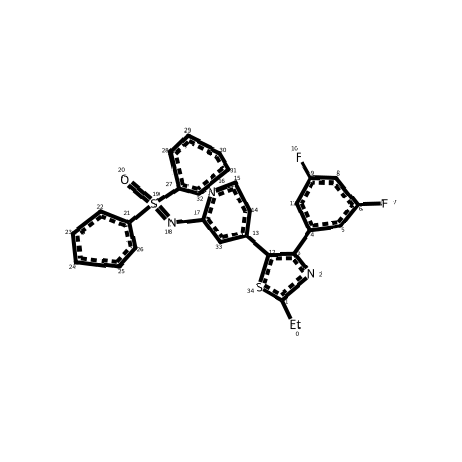 CCc1nc(-c2cc(F)cc(F)c2)c(-c2ccnc(N=S(=O)(c3ccccc3)c3ccccc3)c2)s1